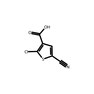 N#Cc1cc(C(=O)O)c(Cl)s1